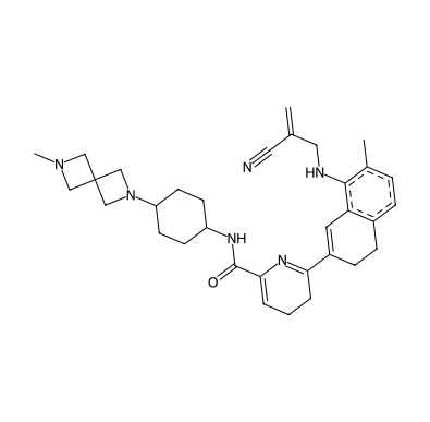 C=C(C#N)CNc1c(C)ccc2c1C=C(C1=NC(C(=O)NC3CCC(N4CC5(CN(C)C5)C4)CC3)=CCC1)CC2